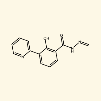 C=NNC(=O)c1cccc(-c2ccccn2)c1O